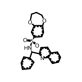 O=S(=O)(N[C@@H](c1ccccc1)c1ccc2ccccc2n1)c1ccc2c(c1)OCCCO2